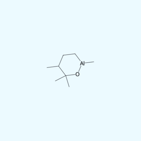 CC1C[CH2][Al]([CH3])[O]C1(C)C